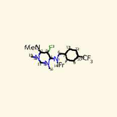 CNC1C(F)C(N(CC2CCC(C(F)(F)F)CC2)C(C)C)N(C)CN1C